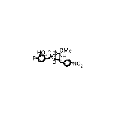 COC(=O)N[C@@H](Cc1ccc([N+](=O)[O-])cc1)C(=O)N[C@@H](Cc1ccc(F)cc1)C(=O)O